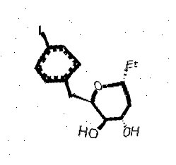 CC[C@@H]1C[C@H](O)C(O)[C@@H](Cc2ccc(I)cc2)O1